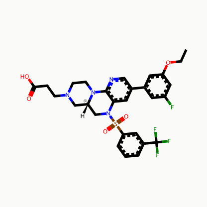 CCOc1cc(F)cc(-c2cnc3c(c2)N(S(=O)(=O)c2cccc(C(F)(F)F)c2)C[C@@H]2CN(CCC(=O)O)CCN32)c1